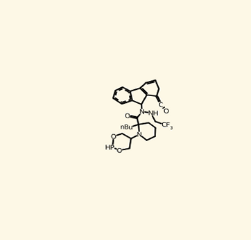 CCCCC1(C(=O)N(NCC(F)(F)F)C2C3=C(C=CCC3=C=O)c3ccccc32)CCCCN1C1COPOC1